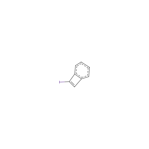 IC1=Cc2ccccc21